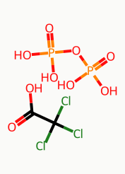 O=C(O)C(Cl)(Cl)Cl.O=P(O)(O)OP(=O)(O)O